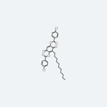 CCCCCCCCCCCC1=C(OC(=O)c2ccc(Cl)cc2)C(=O)C=C(OC(=O)c2ccc(Cl)cc2)C1=O